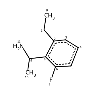 CCc1cccc(F)c1C(C)N